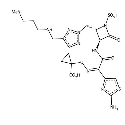 CNCCCNCc1cnn(C[C@H]2[C@H](NC(=O)C(=NOC3(C(=O)O)CC3)c3csc(N)n3)C(=O)N2S(=O)(=O)O)n1